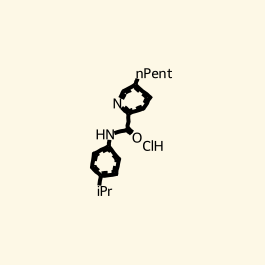 CCCCCc1ccc(C(=O)Nc2ccc(C(C)C)cc2)nc1.Cl